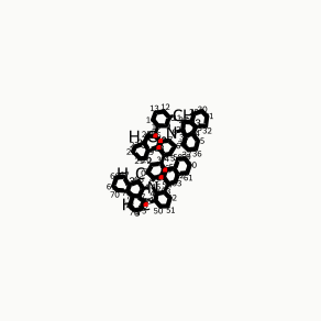 Cc1cc(-c2ccc(N(c3c(C)cccc3-c3ccc4ccccc4c3)c3cc4ccccc4c4ccccc34)c(C)c2)ccc1N(c1c(C)cccc1-c1ccc2ccccc2c1)c1cc2ccccc2c2ccccc12